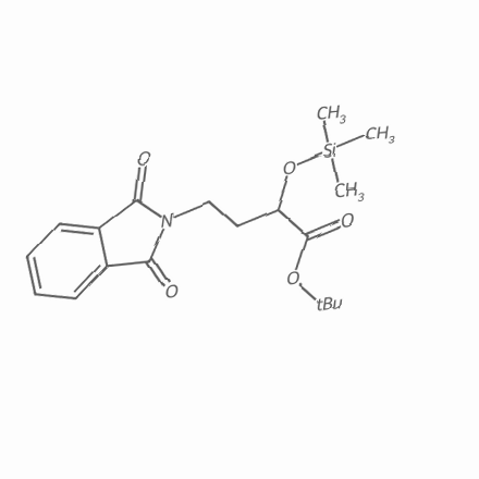 CC(C)(C)OC(=O)C(CCN1C(=O)c2ccccc2C1=O)O[Si](C)(C)C